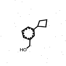 O[CH]c1cccc(C2CCC2)c1